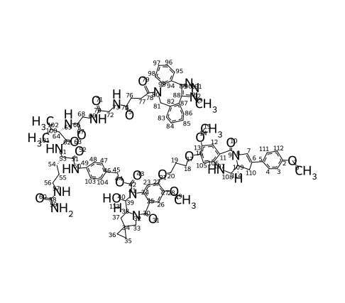 COc1ccc(C2=CN3C(=O)c4cc(OC)c(OCCCOc5cc6c(cc5OC)C(=O)N5CC7(CC7)C[C@H]5C(O)N6C(=O)OCc5ccc(NC(=O)[C@H](CCCNC(N)=O)NC(=O)[C@@H](NC(=O)CNC(=O)CNC(=O)CCC(=O)N6Cc7ccccc7-c7c(nnn7C)-c7ccccc76)C(C)C)cc5)cc4NC[C@@H]3C2)cc1